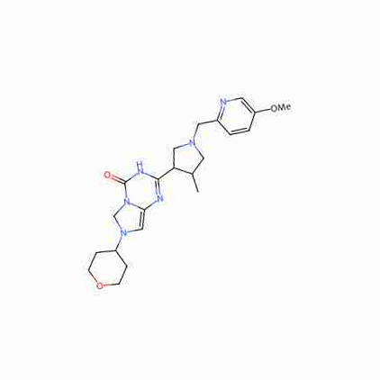 COc1ccc(CN2CC(C)C(C3=NC4=CN(C5CCOCC5)CN4C(=O)N3)C2)nc1